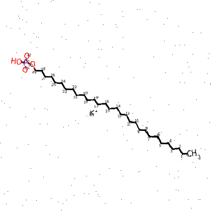 CCCCCCCCCCCCCCCCCCCCCCCCCCCCCCOP(=O)([O-])O.[K+]